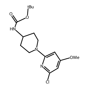 COc1cc(Cl)nc(N2CCC(NC(=O)OC(C)(C)C)CC2)c1